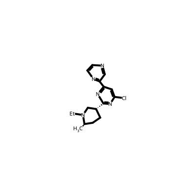 CCN1C[C@H](c2nc(Cl)cc(-c3cnccn3)n2)CC[C@@H]1C